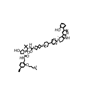 C#Cc1ccc(CNC(=O)[C@@H]2C[C@@H](O)CN2C(=O)[C@@H](NC(=O)N2CC3(CC(N4CCC(c5cnc(N6CCc7[nH]c8nnc(-c9ccccc9O)cc8c7[C@H]6C)nc5)CC4)C3)C2)C(C)(C)C)c(OCCCN(C)C)c1